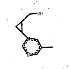 Cc1cncc(C2CC2CO)c1